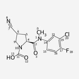 CN(C(=O)[C@@H]1CC(C#N)CN1C(=O)O)c1ccc(F)c(Cl)c1